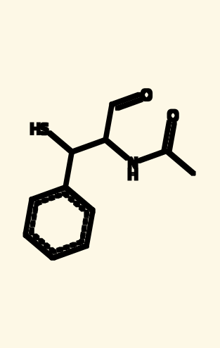 CC(=O)NC(C=O)C(S)c1ccccc1